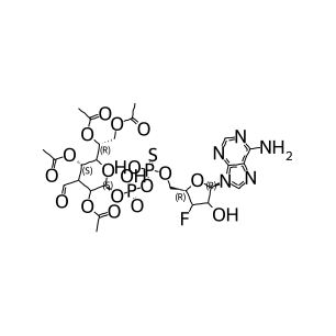 CC(=O)OC[C@@H](OC(C)=O)C1O[C@@H](OP(=O)(O)OP(O)(=S)OC[C@H]2O[C@@H](n3cnc4c(N)ncnc43)C(O)C2F)C(OC(C)=O)C(C=O)[C@@H]1OC(C)=O